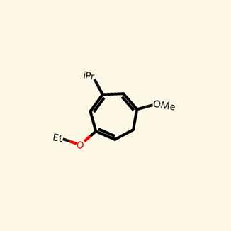 CCOC1=CCC(OC)=CC(C(C)C)=C1